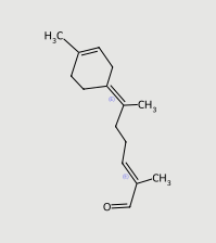 CC1=CC/C(=C(\C)CC/C=C(\C)C=O)CC1